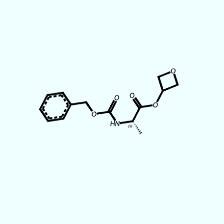 C[C@H](NC(=O)OCc1ccccc1)C(=O)OC1COC1